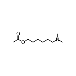 CC(=O)OCCCCCCN(C)C